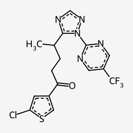 CC(CCC(=O)c1csc(Cl)c1)c1ncnn1-c1ncc(C(F)(F)F)cn1